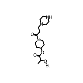 CCOC(C)C(=O)OC1CCN(C(=O)CCN2CCNCC2)CC1